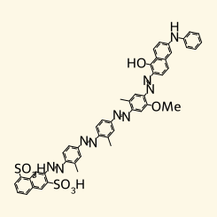 COc1cc(N=Nc2ccc(N=Nc3ccc(N=Nc4cc5c(S(=O)(=O)O)cccc5cc4S(=O)(=O)O)c(C)c3)c(C)c2)c(C)cc1N=Nc1ccc2cc(Nc3ccccc3)ccc2c1O